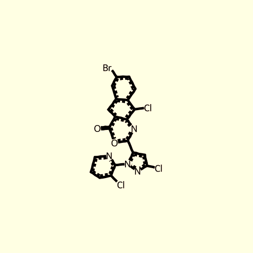 O=c1oc(-c2cc(Cl)nn2-c2ncccc2Cl)nc2c(Cl)c3ccc(Br)cc3cc12